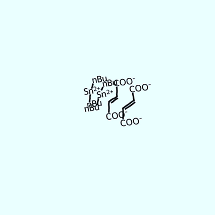 CCC[CH2][Sn+2][CH2]CCC.CCC[CH2][Sn+2][CH2]CCC.O=C([O-])C=CC(=O)[O-].O=C([O-])C=CC(=O)[O-]